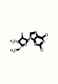 CC[C@H]1O[C@H](n2cnc3c(Cl)nc(Cl)nc32)C(F)[C@H]1C